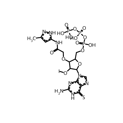 Cc1cc(NC(=O)COC2C(COP(=O)(O)OP(=O)(O)OP(=O)(O)O)OC(n3cnc4c(=S)[nH]c(N)nc43)C2OI)[nH]n1